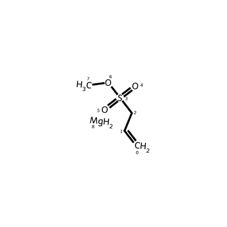 C=CCS(=O)(=O)OC.[MgH2]